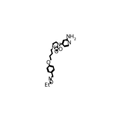 CCO/N=C/c1ccc(OCCCCN2CCN(c3ccnc(N)c3)S2(=O)=O)cc1